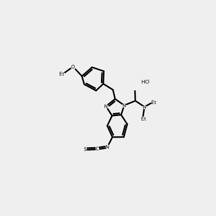 CCOc1ccc(Cc2nc3cc(N=C=S)ccc3n2C(C)N(CC)CC)cc1.Cl